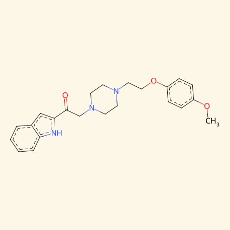 COc1ccc(OCCN2CCN(CC(=O)c3cc4ccccc4[nH]3)CC2)cc1